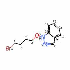 BrCCCCOn1ncc2ccccc21